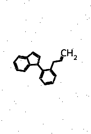 C=CCc1ccccc1C1C=Cc2ccccc21